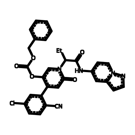 CCC(C(=O)Nc1ccn2nccc2c1)n1cc(OC(=O)OCc2ccccc2)c(-c2cc(Cl)ccc2C#N)cc1=O